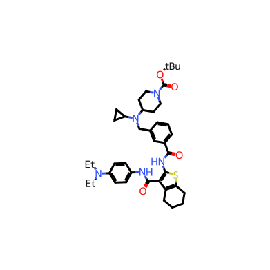 CCN(CC)c1ccc(NC(=O)c2c(NC(=O)c3cccc(CN(C4CC4)C4CCN(C(=O)OC(C)(C)C)CC4)c3)sc3c2CCCC3)cc1